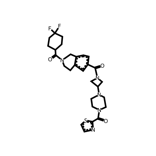 O=C(c1ccc2c(c1)CCN(C(=O)C1CCC(F)(F)CC1)C2)N1CC(N2CCN(C(=O)c3nccs3)CC2)C1